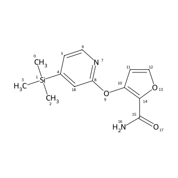 C[Si](C)(C)c1ccnc(Oc2ccoc2C(N)=O)c1